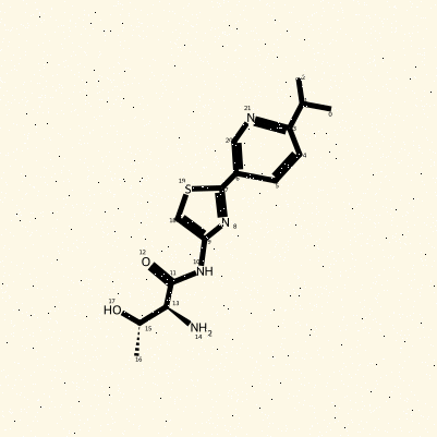 CC(C)c1ccc(-c2nc(NC(=O)[C@@H](N)[C@H](C)O)cs2)cn1